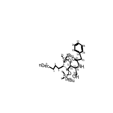 CCCCCCCCCCCCCC[C@@H](O[Si](C)(C)C(C)(C)C)[C@@H](O[Si](C)(C)C(C)(C)C)[C@H](CO)NC(=O)Cc1ccccc1